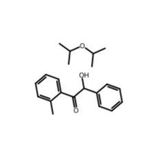 CC(C)OC(C)C.Cc1ccccc1C(=O)C(O)c1ccccc1